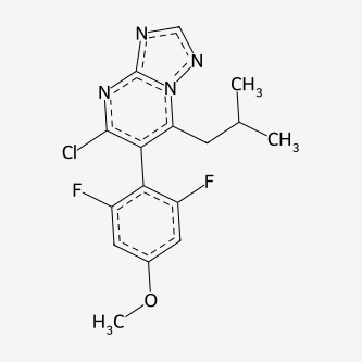 COc1cc(F)c(-c2c(Cl)nc3ncnn3c2CC(C)C)c(F)c1